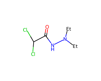 CCN(CC)NC(=O)C(Cl)Cl